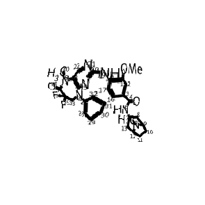 COc1cc(C(=O)NC2CC3CCC(C2)N3C)ccc1Nc1ncc2c(n1)N(c1ccccc1)CC(F)(F)C(=O)N2C